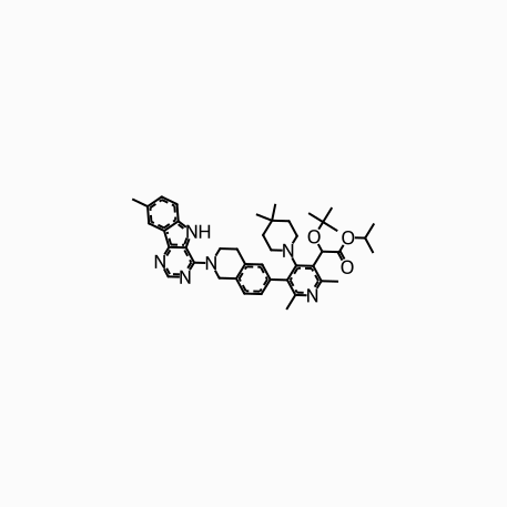 Cc1ccc2[nH]c3c(N4CCc5cc(-c6c(C)nc(C)c(C(OC(C)(C)C)C(=O)OC(C)C)c6N6CCC(C)(C)CC6)ccc5C4)ncnc3c2c1